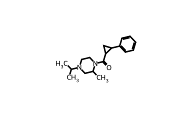 CC(C)N1CCN(C(=O)C2CC2c2ccccc2)C(C)C1